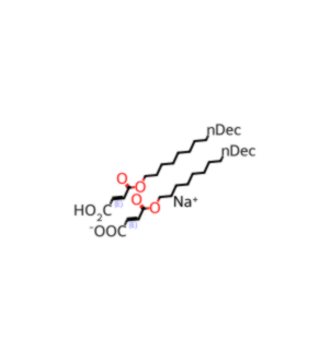 CCCCCCCCCCCCCCCCCCOC(=O)/C=C/C(=O)O.CCCCCCCCCCCCCCCCCCOC(=O)/C=C/C(=O)[O-].[Na+]